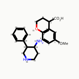 COc1ccc2c(c1)C(C(=O)O)CCO2.NC1CCNCC1c1ccccc1